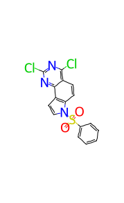 O=S(=O)(c1ccccc1)n1ccc2c3nc(Cl)nc(Cl)c3ccc21